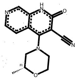 C[C@@H]1CN(c2c(C#N)c(=O)[nH]c3cnccc23)CCO1